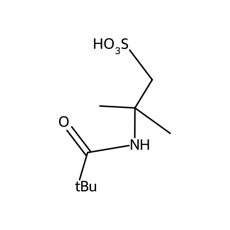 CC(C)(CS(=O)(=O)O)NC(=O)C(C)(C)C